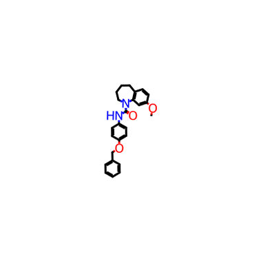 COc1ccc2c(c1)N(C(=O)Nc1ccc(OCc3ccccc3)cc1)CCCC2